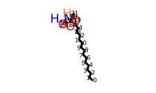 CCCCCCCCCCCCCCCC(O[PH2]=O)OC(C)N